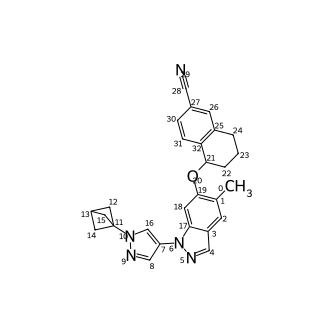 Cc1cc2cnn(-c3cnn(C45CC(C4)C5)c3)c2cc1OC1CCCc2cc(C#N)ccc21